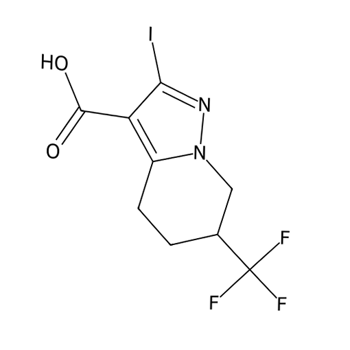 O=C(O)c1c(I)nn2c1CCC(C(F)(F)F)C2